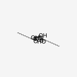 CCCCCCCCCCCCCC(O)CC(=O)OOCC(CO)OOC(=O)CC(O)CCCCCCCCCCCCC